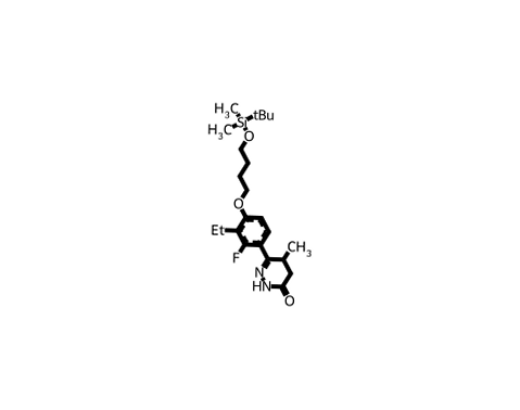 CCc1c(OCCCCO[Si](C)(C)C(C)(C)C)ccc(C2=NNC(=O)CC2C)c1F